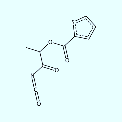 CC(OC(=O)c1cccs1)C(=O)N=C=O